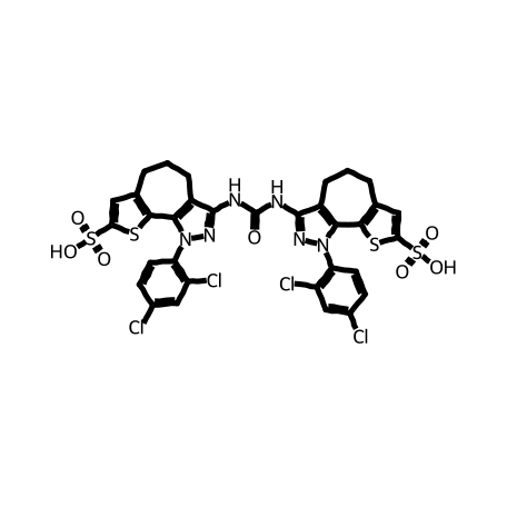 O=C(Nc1nn(-c2ccc(Cl)cc2Cl)c2c1CCCc1cc(S(=O)(=O)O)sc1-2)Nc1nn(-c2ccc(Cl)cc2Cl)c2c1CCCc1cc(S(=O)(=O)O)sc1-2